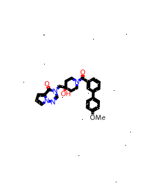 COc1ccc(-c2cccc(C(=O)N3CCC(O)(Cn4cnn5cccc5c4=O)CC3)c2)cc1